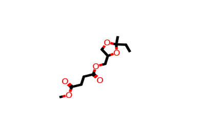 CCC1(C)OCC(COC(=O)CCC(=O)OC)O1